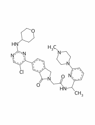 CC(NC(=O)CN1Cc2ccc(-c3nc(NC4CCOCC4)ncc3Cl)cc2C1=O)c1cccc(N2CCN(C)CC2)n1